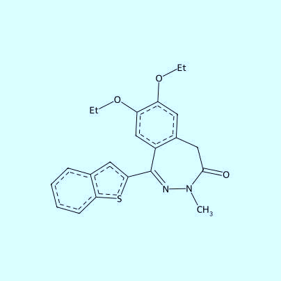 CCOc1cc2c(cc1OCC)C(c1cc3ccccc3s1)=NN(C)C(=O)C2